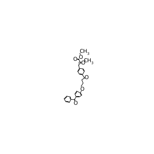 CCOC(=O)[C@H](Cc1ccc(C(=O)CCCOc2ccc(C(=O)c3ccccc3)cc2)cc1)OC